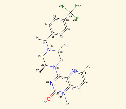 Cc1ccc2c(n1)c(N1C[C@@H](C)N(C(C)c3ccc(C(F)(F)F)cc3)C[C@@H]1C)nc(=O)n2C